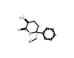 C=C1CC[C@@](CBr)(c2ccccc2)OC1=O